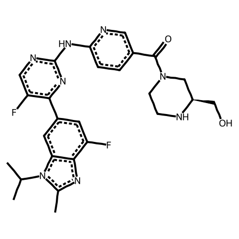 Cc1nc2c(F)cc(-c3nc(Nc4ccc(C(=O)N5CCN[C@H](CO)C5)cn4)ncc3F)cc2n1C(C)C